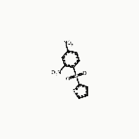 O=[N+]([O-])c1ccc(S(=O)(=O)c2cccs2)c([N+](=O)[O-])c1